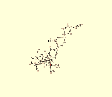 CN(c1ccc(-c2ccc(-n3cnc(C#N)c3)cc2O)nn1)[C@H]1C[C@@H]2CC[C@@H]([C@H]1F)N2C(=O)OC(C)(C)C